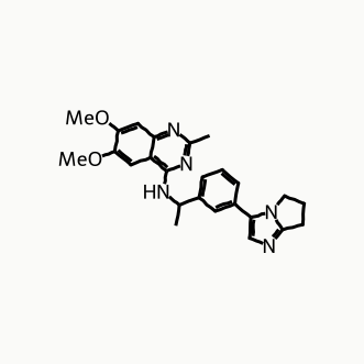 COc1cc2nc(C)nc(NC(C)c3cccc(-c4cnc5n4CCC5)c3)c2cc1OC